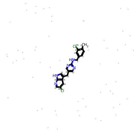 Cc1ccc(CNc2ncc(Cc3c[nH]c4ncc(Cl)cc34)cn2)cc1Cl